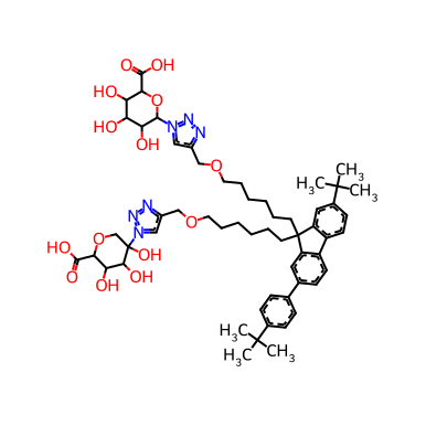 CC(C)(C)c1ccc(-c2ccc3c(c2)C(CCCCCCOCc2cn(C4OC(C(=O)O)C(O)C(O)C4O)nn2)(CCCCCCOCc2cn(C4(O)COC(C(=O)O)C(O)C4O)nn2)c2cc(C(C)(C)C)ccc2-3)cc1